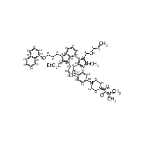 C=CCOCc1c(-c2cccc3c(CCCOc4cccc5ccccc45)c(C(=O)OCC)n(CC=C)c23)c(COc2ccc(N3CCN(S(=O)(=O)N(C)C)CC3)cc2)nn1C